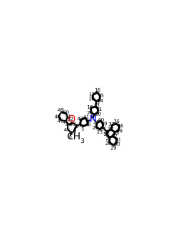 CC1C=C(c2ccc(N(c3ccc(-c4ccccc4)cc3)c3ccc(-c4cc5ccccc5c5ccccc45)cc3)cc2)C2=C(C1)C1C=CC=CC1O2